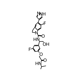 CC(C)NC(=O)COc1cc(F)cc(C(CO)NC(=O)N2CCc3cc(-c4cn[nH]c4)c(F)cc32)c1